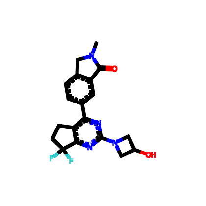 CN1Cc2ccc(-c3nc(N4CC(O)C4)nc4c3CCC4(F)F)cc2C1=O